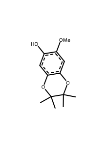 COc1cc2c(cc1O)OC(C)(C)C(C)(C)O2